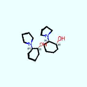 O[C@@H]1CCCC[C@H]1N1CCCC1.O[C@@H]1CCCC[C@H]1N1CCCC1